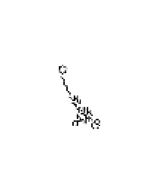 Clc1nc(NCc2cn(CCCCCCCC3CCCCC3)nn2)c2ncn(C3CCCCO3)c2n1